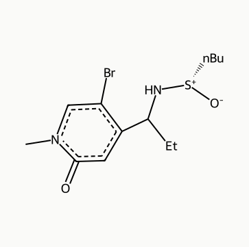 CCCC[S@+]([O-])NC(CC)c1cc(=O)n(C)cc1Br